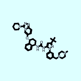 CN1CCN(Cc2cccc(-n3nc(C(C)(C)C)cc3NC(=O)N[C@H]3CC[C@@H](Oc4ccc5nnc(N6CCCCC6)n5c4)c4ccccc43)c2)CC1